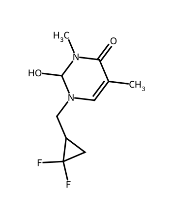 CC1=CN(CC2CC2(F)F)C(O)N(C)C1=O